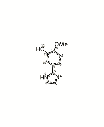 COc1ccc(-c2ncc[nH]2)cc1O